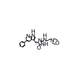 O=C1NC(NCCN2CCOCC2)=N/C1=C\c1c[nH]c2ncc(-c3ccccc3)cc12